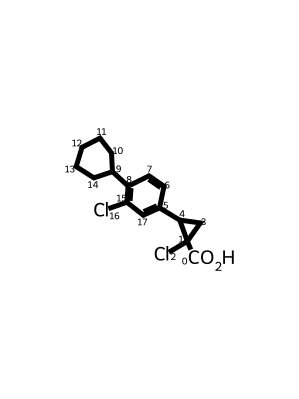 O=C(O)C1(Cl)CC1c1ccc(C2CCCCC2)c(Cl)c1